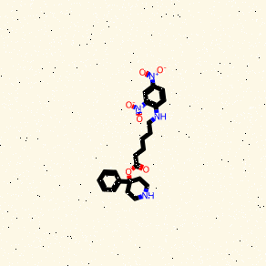 O=C(CCCCCNc1ccc([N+](=O)[O-])cc1[N+](=O)[O-])OC1(c2ccccc2)CCNCC1